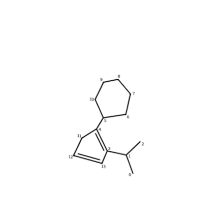 CC(C)C1=C(C2CCCCC2)CC=C1